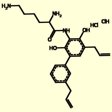 C=CCc1cccc(-c2cc(CC=C)c(O)c(NC(=O)C(N)CCCCN)c2O)c1.Cl.Cl